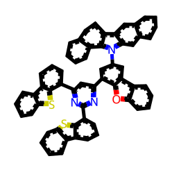 c1ccc2cc3c(cc2c1)c1ccc2ccccc2c1n3-c1cc(-c2cc(-c3cccc4c3sc3ccccc34)nc(-c3cccc4c3sc3ccccc34)n2)c2oc3ccccc3c2c1